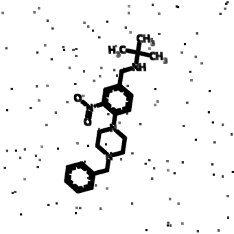 CC(C)(C)NCc1ccc(N2CCN(Cc3ccccc3)CC2)c([N+](=O)[O-])c1